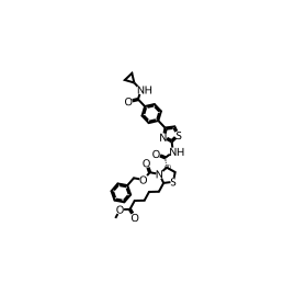 COC(=O)CCCCC1SC[C@@H](C(=O)Nc2nc(-c3ccc(C(=O)NC4CC4)cc3)cs2)N1C(=O)OCc1ccccc1